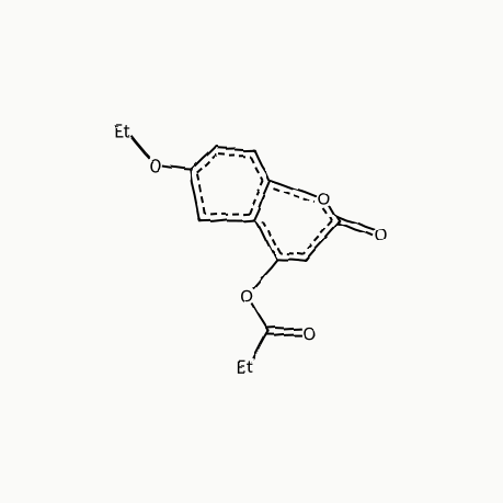 CCOc1ccc2oc(=O)cc(OC(=O)CC)c2c1